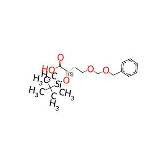 CC(C)(C)[Si](C)(C)O[C@@H](CCOCOCc1ccccc1)C(=O)O